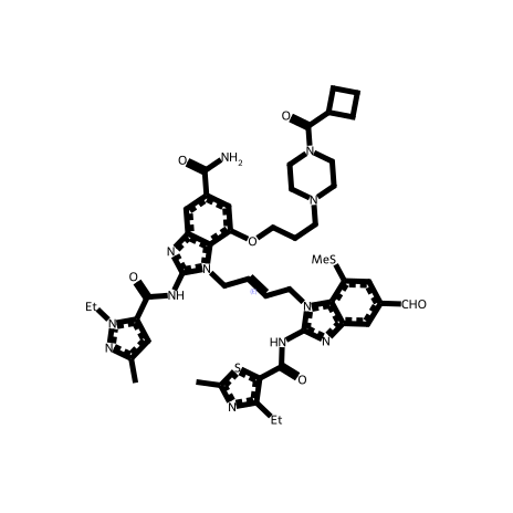 CCc1nc(C)sc1C(=O)Nc1nc2cc(C=O)cc(SC)c2n1C/C=C/Cn1c(NC(=O)c2cc(C)nn2CC)nc2cc(C(N)=O)cc(OCCCN3CCN(C(=O)C4CCC4)CC3)c21